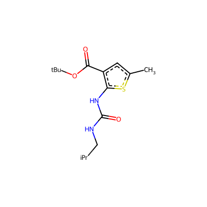 Cc1cc(C(=O)OC(C)(C)C)c(NC(=O)NCC(C)C)s1